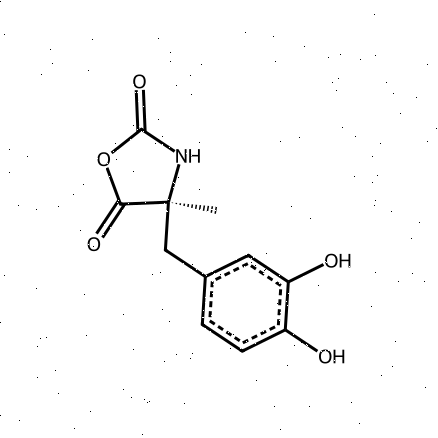 C[C@@]1(Cc2ccc(O)c(O)c2)NC(=O)OC1=O